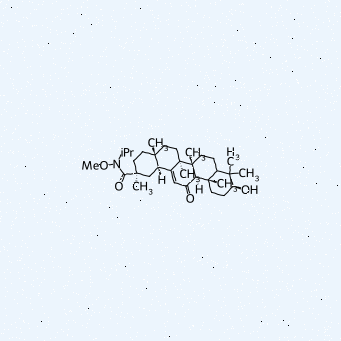 CON(C(=O)[C@@]1(C)CC[C@]2(C)CC[C@]3(C)C(=CC(=O)[C@@H]4[C@@]5(C)CC[C@H](O)C(C)(C)C5CC[C@]43C)[C@@H]2C1)C(C)C